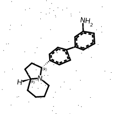 Nc1cccc(-c2ccc([C@H]3CC[C@H]4CCCCN43)cc2)c1